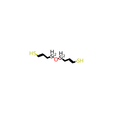 SC=CC[SiH2]O[SiH2]CC=CS